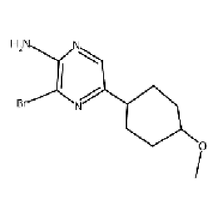 COC1CCC(c2cnc(N)c(Br)n2)CC1